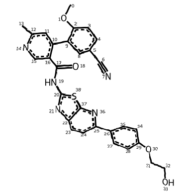 COc1ccc(C#N)cc1-c1cc(C)ncc1C(=O)Nc1nc2ccc(-c3ccc(OCCO)cc3)nc2s1